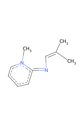 CC(C)=C/N=c1/ccccn1C